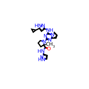 C[C@@]1(C(=O)Nc2cc[nH]n2)CCCN1c1nc(Nc2cc(C3CC3)[nH]n2)n2cccc2n1